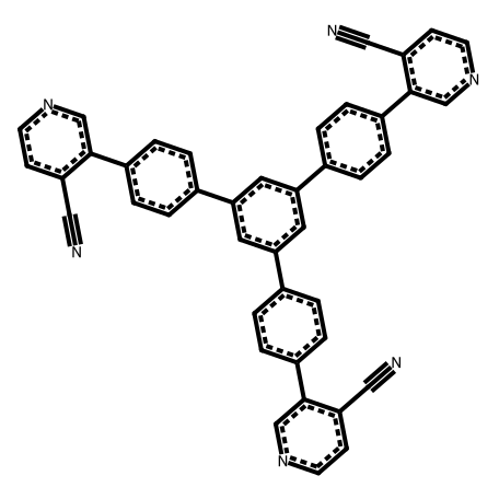 N#Cc1ccncc1-c1ccc(-c2cc(-c3ccc(-c4cnccc4C#N)cc3)cc(-c3ccc(-c4cnccc4C#N)cc3)c2)cc1